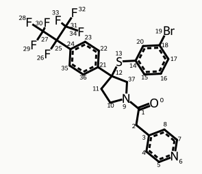 O=C(Cc1ccncc1)N1CCC(Sc2cccc(Br)c2)(c2ccc(C(F)(C(F)(F)F)C(F)(F)F)cc2)C1